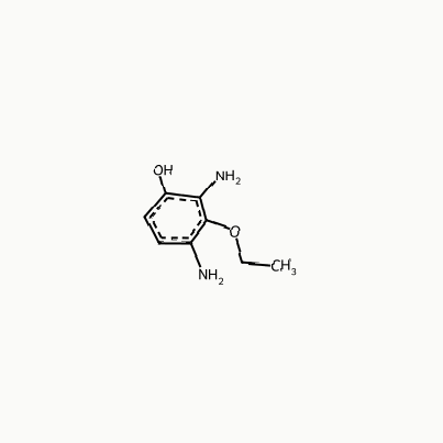 CCOc1c(N)ccc(O)c1N